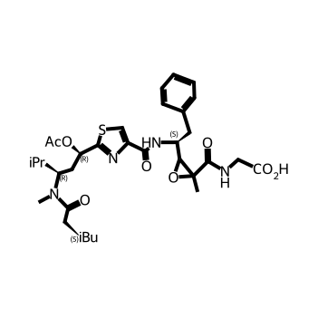 CC[C@H](C)CC(=O)N(C)[C@H](C[C@@H](OC(C)=O)c1nc(C(=O)N[C@@H](Cc2ccccc2)C2OC2(C)C(=O)NCC(=O)O)cs1)C(C)C